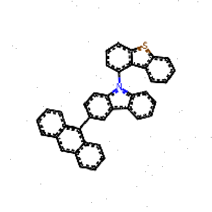 c1ccc2c(-c3ccc4c(c3)c3ccccc3n4-c3cccc4sc5ccccc5c34)c3ccccc3cc2c1